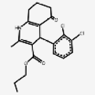 CCCOC(=O)C1=C(C)NC2=C(C(=O)CCC2)C1c1cccc(Cl)c1Cl